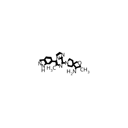 Cc1nc(N2CCC3(CC2)COC(C)C3N)c2nccn2c1-c1ccc2cn[nH]c2c1